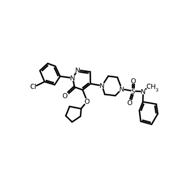 CN(c1ccccc1)S(=O)(=O)N1CCN(c2cnn(-c3cccc(Cl)c3)c(=O)c2OC2CCCC2)CC1